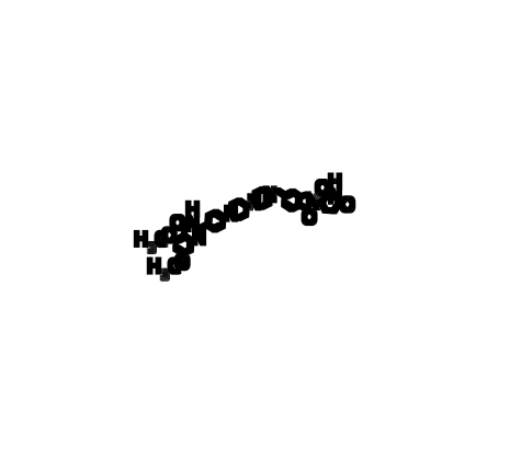 COc1cc(OC)c2c(=O)[nH]c(-c3ccc(N4CCC(N5CCN(Cc6ccc7c(c6)CN(C6CCC(=O)NC6=O)C7=O)CC5)CC4)cc3)nc2c1